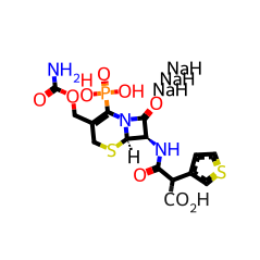 NC(=O)OCC1=C(P(=O)(O)O)N2C(=O)[C@@H](NC(=O)C(C(=O)O)c3ccsc3)[C@H]2SC1.[NaH].[NaH].[NaH]